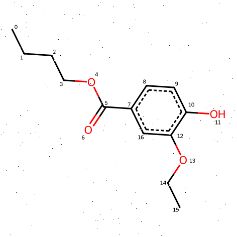 CCCCOC(=O)c1ccc(O)c(OCC)c1